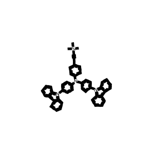 C[Si](C)(C)C#Cc1ccc(N(c2ccc(-n3c4ccccc4c4ccccc43)cc2)c2ccc(-n3c4ccccc4c4ccccc43)cc2)cc1